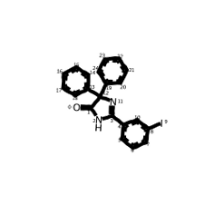 O=C1NC(c2cccc(I)c2)=NC1(c1ccccc1)c1ccccc1